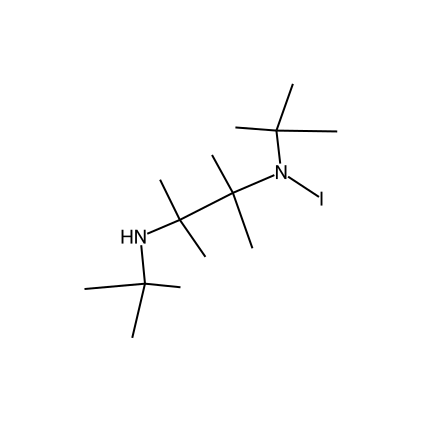 CC(C)(C)NC(C)(C)C(C)(C)N(I)C(C)(C)C